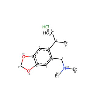 CCC(C(=O)O)c1cc2c(cc1CN(CC)CC)OCO2.Cl